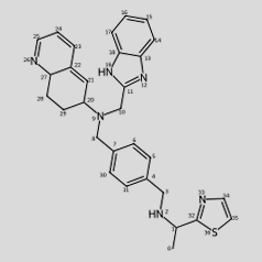 CC(NCc1ccc(CN(Cc2nc3ccccc3[nH]2)C2C=C3C=CC=NC3CC2)cc1)c1nccs1